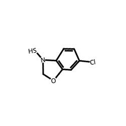 SN1COc2cc(Cl)ccc21